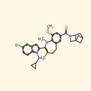 COc1cc(C(=O)N2CC34CC(CC23)C4)cc2c1N(C)C(c1cc3cc(Br)ccc3n1CC1CC1)=C(C)CC2